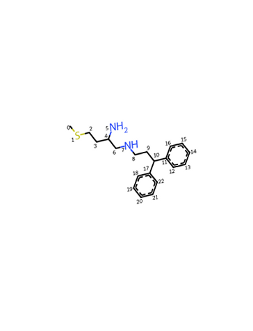 CSCCC(N)CNCCC(c1ccccc1)c1ccccc1